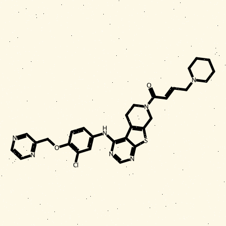 O=C(C=CCN1CCCCC1)N1CCc2c(sc3ncnc(Nc4ccc(OCc5cnccn5)c(Cl)c4)c23)C1